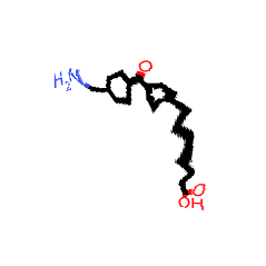 NCC1CCC(C(=O)c2ccc(CCCCCCC(=O)O)cc2)CC1